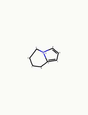 c1cc2n(c1)CCCC2